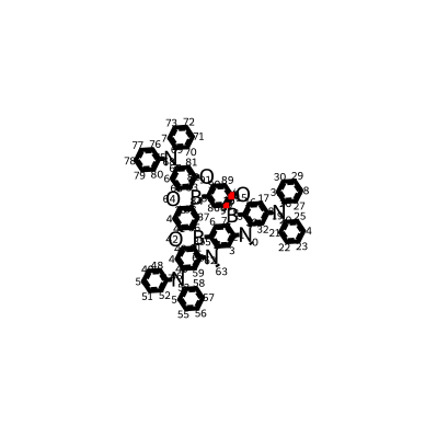 CN1c2cc3c(cc2B2c4ccccc4Oc4cc(N(c5ccccc5)c5ccccc5)cc1c42)B1c2cc4c(cc2Oc2cc(N(c5ccccc5)c5ccccc5)cc(c21)N3C)Oc1cc(N(c2ccccc2)c2ccccc2)cc2c1B4c1ccccc1O2